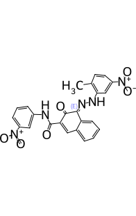 Cc1ccc([N+](=O)[O-])cc1N/N=C1/C(=O)C(C(=O)Nc2cccc([N+](=O)[O-])c2)=Cc2ccccc21